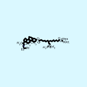 CCCCCCCCC(CCCCCC)OC(=O)CCCCCCC(CCCCCC(=O)OC1CCC2(C)C(=CCC3C2CCC2(C)C(C(C)/C=C/C(CC)C(C)C)CCC32)C1)CCN(C)C